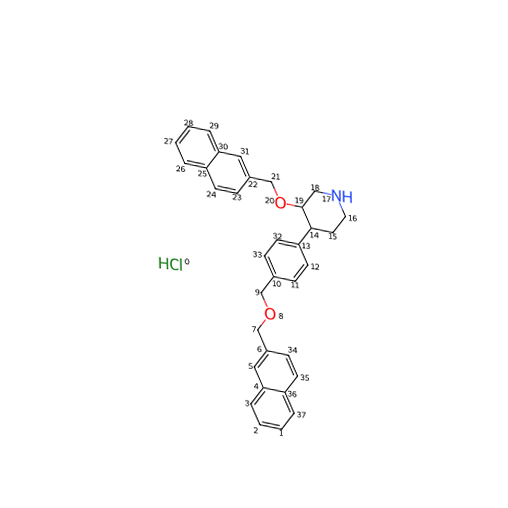 Cl.c1ccc2cc(COCc3ccc(C4CCNCC4OCc4ccc5ccccc5c4)cc3)ccc2c1